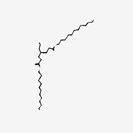 CCCCCCCCCCCCNC(=O)CCC(CCC)CCC(=O)NCCCCCCCCCCCC